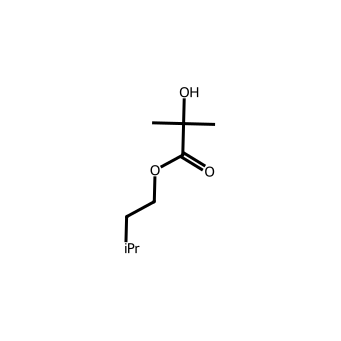 CC(C)CCOC(=O)C(C)(C)O